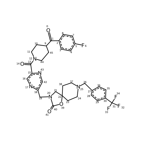 O=C(c1ccc(F)cc1)C1CCN(C(=O)c2cnc(CN3CC4(CCN(Cc5ccc(C(F)(F)F)cc5)CC4)OC3=O)cn2)CC1